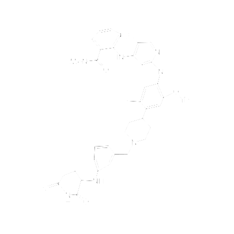 CNC(=O)c1ccccc1Nc1cc(Nc2cc(C)c(C3CCN(Cc4cccc(NC5CCC(=O)NC5=O)c4)CC3)cc2OC(C)C)ncc1C(F)(F)F